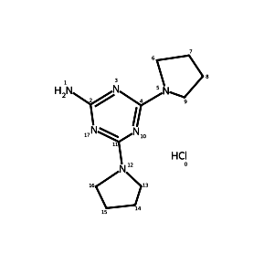 Cl.Nc1nc(N2CCCC2)nc(N2CCCC2)n1